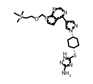 C[Si](C)(C)CCOCn1ccc2c(-c3cnn([C@H]4CC[C@@H](Sc5nc(N)n[nH]5)CC4)c3)ncnc21